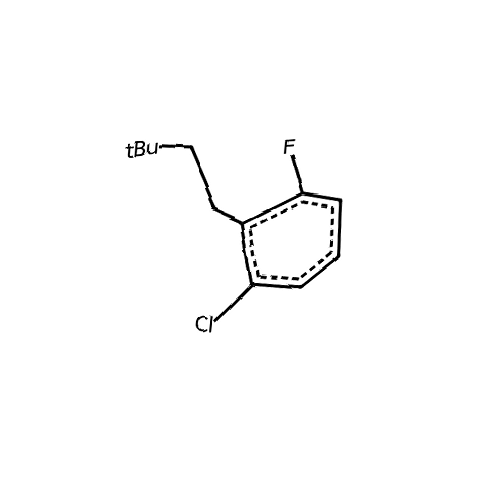 CC(C)(C)CCc1c(F)cccc1Cl